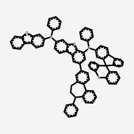 c1ccc(C2CCc3cc(-c4cc(N(c5ccccc5)c5ccc6c(c5)C5(c7ccccc7Sc7ccccc75)c5ccccc5-6)c5sc6cc(N(c7ccccc7)c7ccc8c(c7)oc7ccccc78)ccc6c5c4)ccc3-c3ccccc32)cc1